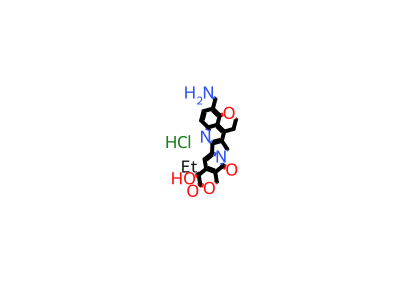 CCC1(O)C(=O)OCc2c1cc1n(c2=O)Cc2c-1nc1ccc(CN)c3c1c2CCO3.Cl